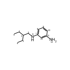 CCC(CC)CNc1cccc(N)c1